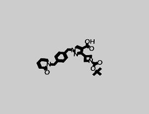 CC(C)(C)OC(=O)N1CC(c2nn(Cc3ccc(Cn4ccccc4=O)cc3)cc2C(=O)O)C1